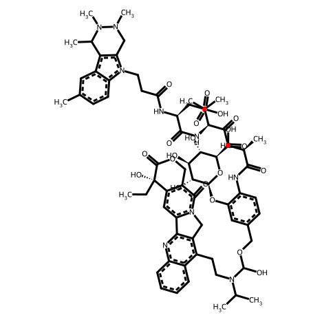 CC[C@@]1(O)C(=O)OCc2c1cc1n(c2=O)Cc2c-1nc1ccccc1c2CCN(C(C)C)C(O)OCc1ccc(NC(=O)[C@H](C)NC(=O)[C@@H](NC(=O)[C@H](CS(=O)(=O)O)NC(=O)CCn2c3c(c4cc(C)ccc42)C(C)N(C)N(C)C3)C(C)C)c(O[C@@H]2O[C@H](C(=O)O)[C@@H](O)[C@H](O)[C@H]2O)c1